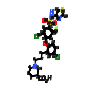 O=C(O)C1CCCN(CCCc2cc(Cl)ccc2Oc2cc(F)c(S(=O)(=O)Nc3cscn3)cc2Cl)C1